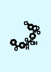 Cl.O=C(CN1CCC(N2C(=O)OCc3cc(Cl)ccc32)CC1)Nc1ccc(C(=O)c2ccccc2)cc1